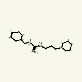 N=C(NCCCN1CCCCC1)NCC1CCCCC1